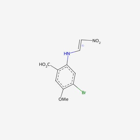 COc1cc(C(=O)O)c(N/C=C/[N+](=O)[O-])cc1Br